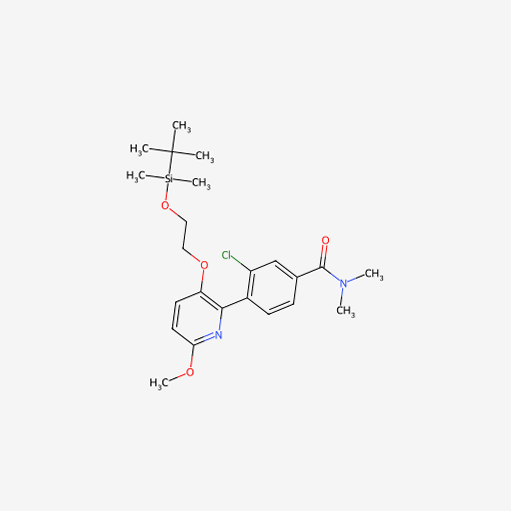 COc1ccc(OCCO[Si](C)(C)C(C)(C)C)c(-c2ccc(C(=O)N(C)C)cc2Cl)n1